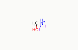 CO.I.NI